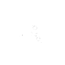 COCc1ccc2c(n1)CCN(C(=O)[C@H]1C[C@H](CC(=O)O)C1)[C@H]2C(=O)Nc1cc(F)c2c(c1)CCC2(C)C